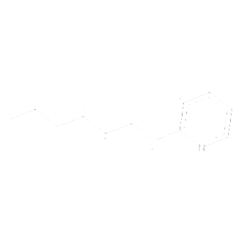 [CH2]CCCCCSc1ccccn1